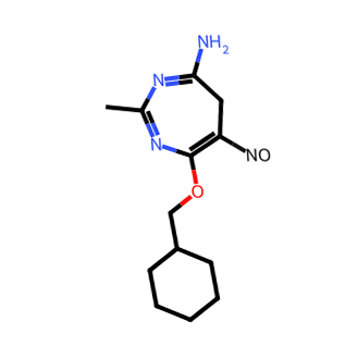 CC1=NC(OCC2CCCCC2)=C(N=O)CC(N)=N1